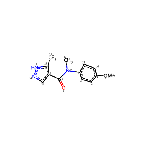 COc1ccc(N(C)C(=O)c2cn[nH]c2C(F)(F)F)cc1